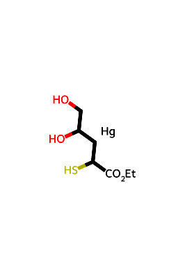 CCOC(=O)C(S)CC(O)CO.[Hg]